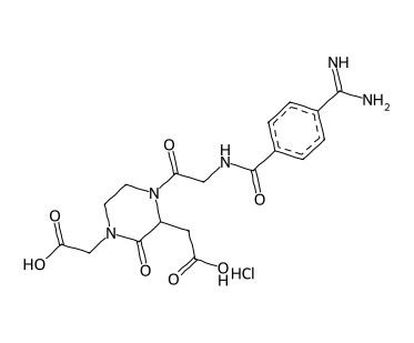 Cl.N=C(N)c1ccc(C(=O)NCC(=O)N2CCN(CC(=O)O)C(=O)C2CC(=O)O)cc1